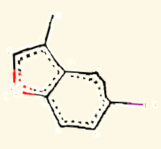 Cc1coc2ccc(I)cc12